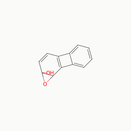 OC12C=CC3=C(c4ccccc43)C1O2